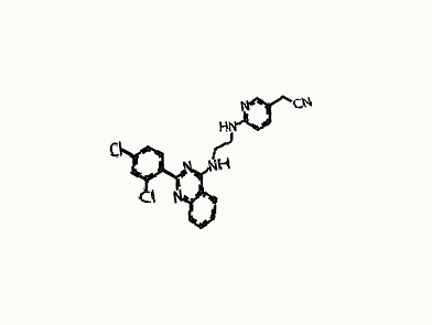 N#CCc1ccc(NCCNc2nc(-c3ccc(Cl)cc3Cl)nc3ccccc23)nc1